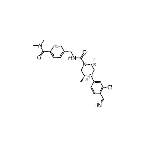 C[C@@H]1CN(c2ccc(C=N)c(Cl)c2)[C@@H](C)CN1C(=O)NCc1ccc(C(=O)N(C)C)cc1